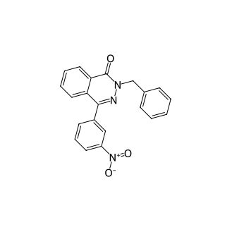 O=c1c2ccccc2c(-c2cccc([N+](=O)[O-])c2)nn1Cc1ccccc1